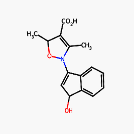 CC1=C(C(=O)O)C(C)ON1C1=CC(O)c2ccccc21